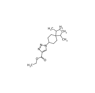 CCOC(=O)c1cn(C2CCC(C(C)C)(C(C)C)CC2)nn1